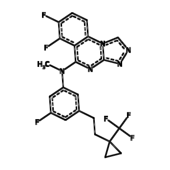 CN(c1cc(F)cc(CCC2(C(F)(F)F)CC2)c1)c1nc2nncn2c2ccc(F)c(F)c12